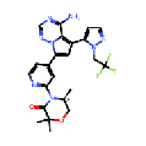 C[C@H]1COC(C)(C)C(=O)N1c1cc(-c2cc(-c3ccnn3CC(F)(F)F)c3c(N)ncnn23)ccn1